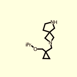 CC(C)OCC1(CN2CC3(CCNC3)C2)CC1